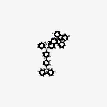 C=C/C=C\C1=C(c2ccc(N(c3ccccc3)c3ccc(-c4ccc(-n5c6ccccc6c6ccccc65)cc4)cc3)cc2)c2ccccc2C12c1ccccc1-c1ccccc12